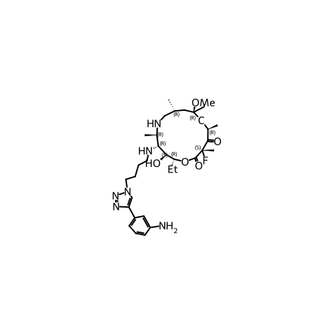 CC[C@H]1OC(=O)[C@@](C)(F)C(=O)[C@H](C)C[C@](C)(OC)C[C@@H](C)CN[C@H](C)[C@@H](NCCCCn2cc(-c3cccc(N)c3)nn2)[C@@H]1O